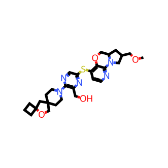 COCC1CC2COc3c(Sc4cnc(N5CCC6(CC5)COC5(CCC5)C6)c(CO)n4)ccnc3N2C1